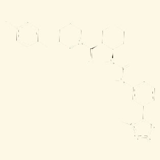 Cn1nnnc1-c1cccc(NC(=O)N[C@@H]2CCOC[C@@H]2C(=O)N2CCC[C@@H](Cc3ccc(F)cc3)C2)c1